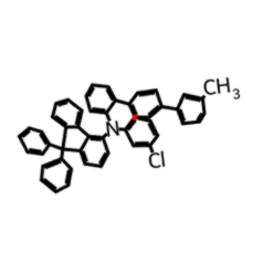 Cc1cccc(-c2ccc(-c3ccccc3N(c3cccc(Cl)c3)c3cccc4c3-c3ccccc3C4(c3ccccc3)c3ccccc3)cc2)c1